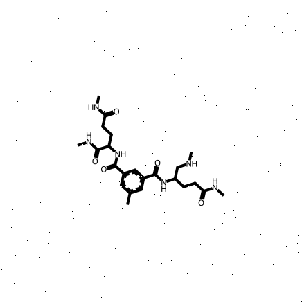 CNCC(CCC(=O)NC)NC(=O)c1cc(C)cc(C(=O)NC(CCC(=O)NC)C(=O)NC)c1